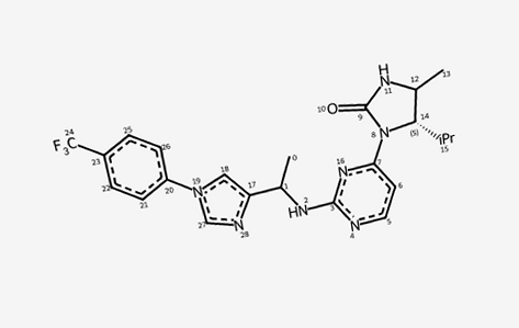 CC(Nc1nccc(N2C(=O)NC(C)[C@@H]2C(C)C)n1)c1cn(-c2ccc(C(F)(F)F)cc2)cn1